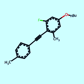 CCCCOc1cc(C)c(C#Cc2ccc(C)cc2)c(F)c1